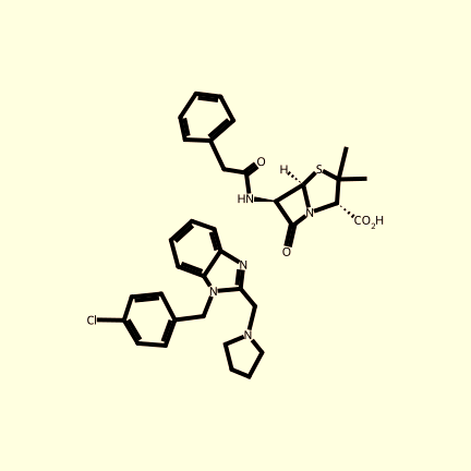 CC1(C)S[C@@H]2[C@H](NC(=O)Cc3ccccc3)C(=O)N2[C@H]1C(=O)O.Clc1ccc(Cn2c(CN3CCCC3)nc3ccccc32)cc1